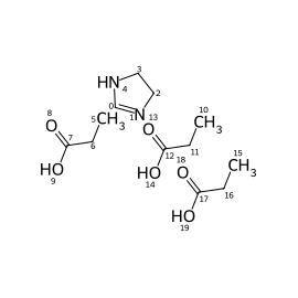 C1=NCCN1.CCC(=O)O.CCC(=O)O.CCC(=O)O